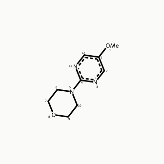 COc1cnc(N2CCOCC2)nc1